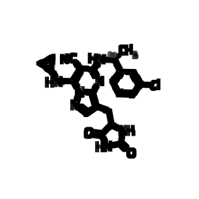 C[C@@H](Nc1nc2c(CC3NC(=O)NC3=O)cnn2c(NC2CC2)c1C#N)c1cccc(Cl)c1